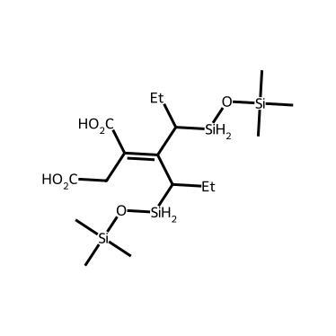 CCC([SiH2]O[Si](C)(C)C)C(=C(CC(=O)O)C(=O)O)C(CC)[SiH2]O[Si](C)(C)C